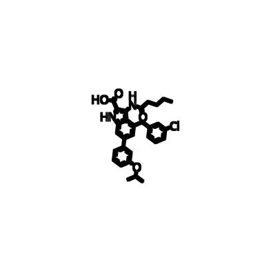 CCCCC(=O)Nc1c(C(=O)O)[nH]c2cc(-c3cccc(OC(C)C)c3)cc(Cc3cccc(Cl)c3)c12